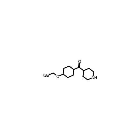 CC(C)(C)COC1CCC(C(=O)C2CCNCC2)CC1